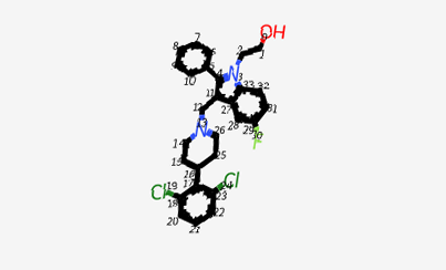 OCCn1c(-c2ccccc2)c(CN2CCC(c3c(Cl)cccc3Cl)CC2)c2cc(F)ccc21